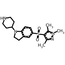 Cc1nn(C)c(C)c1S(=O)(=O)c1ccc2c(c1)CCN2C1CCNCC1